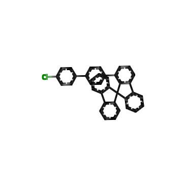 Clc1ccc(-c2ccc(-c3cccc4c3C3(c5ccccc5-c5ccccc53)c3ccccc3-4)cc2)cc1